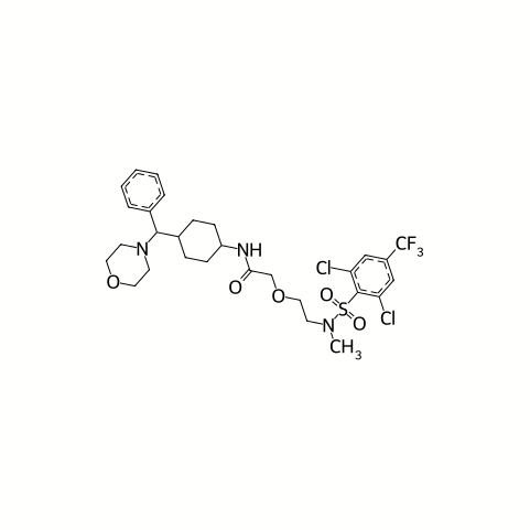 CN(CCOCC(=O)NC1CCC(C(c2ccccc2)N2CCOCC2)CC1)S(=O)(=O)c1c(Cl)cc(C(F)(F)F)cc1Cl